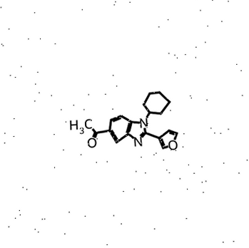 CC(=O)c1ccc2c(c1)nc(-c1ccoc1)n2C1CCCCC1